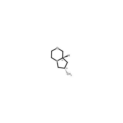 C[C@H]1C[C@H]2COCCN2C1